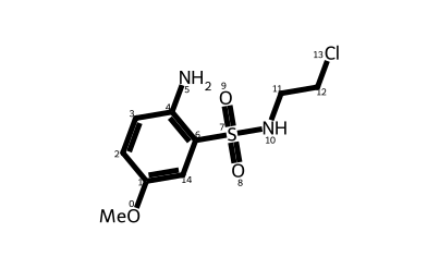 COc1ccc(N)c(S(=O)(=O)NCCCl)c1